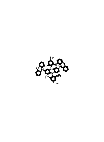 CC(C)c1cc(C(C)C)c(B2c3ccc(N4c5ccccc5Cc5ccccc54)cc3B(c3c(C(C)C)cc(C(C)C)cc3C(C)C)c3cc(N4c5ccccc5Oc5ccccc54)ccc32)c(C(C)C)c1